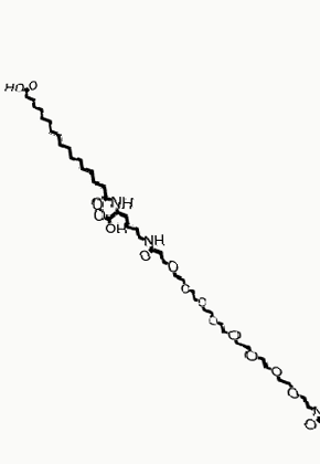 O=C(O)CCCCCCCCCCCCCCCCC(=O)NC(CCCCNC(=O)CCOCCOCCOCCOCCOCCOCCOCCOCCNC(=O)CBr)C(=O)O